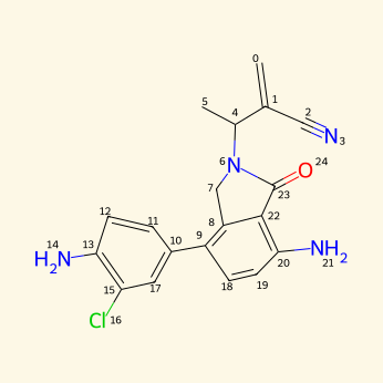 C=C(C#N)C(C)N1Cc2c(-c3ccc(N)c(Cl)c3)ccc(N)c2C1=O